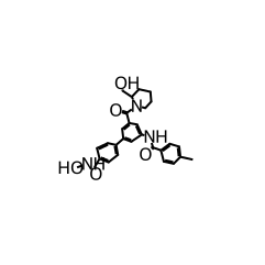 Cc1ccc(C(=O)Nc2cc(C(=O)N3CCCCC3CO)cc(-c3ccc(C(=O)NO)cc3)c2)cc1